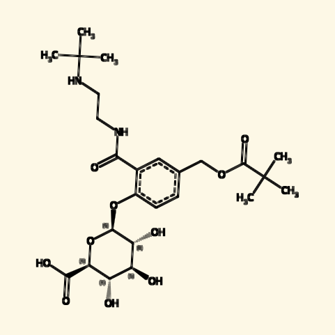 CC(C)(C)NCCNC(=O)c1cc(COC(=O)C(C)(C)C)ccc1O[C@@H]1O[C@H](C(=O)O)[C@@H](O)[C@H](O)[C@H]1O